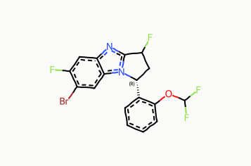 Fc1cc2nc3n(c2cc1Br)[C@@H](c1ccccc1OC(F)F)CC3F